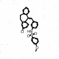 COc1ccc(S(=O)(=O)Nc2cccc(C=C3c4ccccc4CCc4cc(Cl)ccc43)c2)cc1